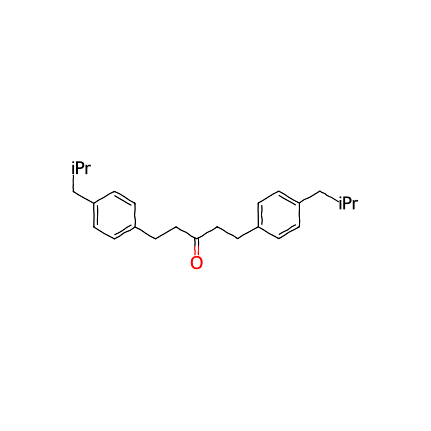 CC(C)Cc1ccc(CCC(=O)CCc2ccc(CC(C)C)cc2)cc1